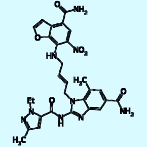 CCn1nc(C)cc1C(=O)Nc1nc2cc(C(N)=O)cc(C)c2n1CC=CCNc1c([N+](=O)[O-])cc(C(N)=O)c2ccoc12